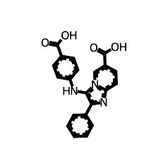 O=C(O)c1ccc(Nc2c(-c3ccccc3)nc3ccc(C(=O)O)cn23)cc1